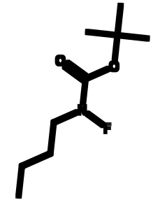 CCCCN(F)C(=O)OC(C)(C)C